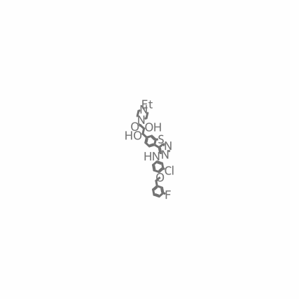 CCN1CCN(C(=O)[C@H](O)[C@@H](O)c2ccc3c(c2)sc2ncnc(Nc4ccc(OCc5cccc(F)c5)c(Cl)c4)c23)CC1